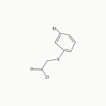 CCc1cccc(SCC(=O)Cl)c1